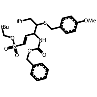 COc1ccc(CSC(CC(C)C)C(C=CS(=O)(=O)OCC(C)(C)C)NC(=O)OCc2ccccc2)cc1